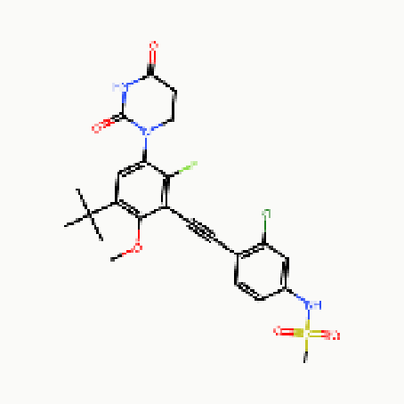 COc1c(C(C)(C)C)cc(N2CCC(=O)NC2=O)c(F)c1C#Cc1ccc(NS(C)(=O)=O)cc1Cl